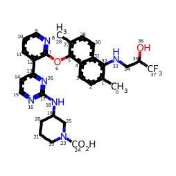 Cc1ccc2c(Oc3ncccc3-c3ccnc(NC4CCCN(C(=O)O)C4)n3)c(C)ccc2c1NCC(O)C(F)(F)F